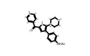 CC(=O)Nc1ccc(-c2cc(C(=O)c3ccncc3)sc2N2CCOCC2)cc1